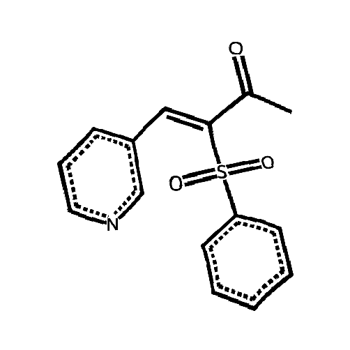 CC(=O)C(=Cc1cccnc1)S(=O)(=O)c1ccccc1